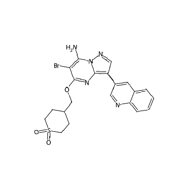 Nc1c(Br)c(OCC2CCS(=O)(=O)CC2)nc2c(-c3cnc4ccccc4c3)cnn12